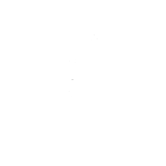 C[Si](C)(Oc1ccccc1)OC1CCO1